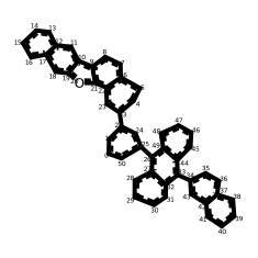 c1cc(-c2ccc3ccc4c5cc6ccccc6cc5oc4c3c2)cc(-c2c3ccccc3c(-c3ccc4ccccc4c3)c3ccccc23)c1